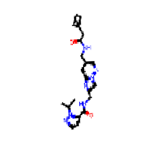 CC(C)n1nccc1C(=O)NCc1cn2ncc(CNC(=O)CC34CC(C3)C4)cc2n1